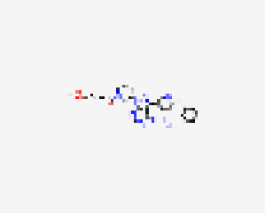 Nc1ncnc2c1c(-c1ccc(Oc3ccccc3)nc1)nn2[C@@H]1CCCN(C(=O)/C=C/CCO)C1